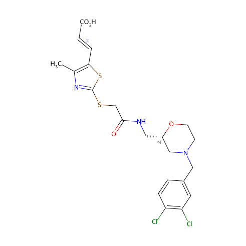 Cc1nc(SCC(=O)NC[C@H]2CN(Cc3ccc(Cl)c(Cl)c3)CCO2)sc1/C=C/C(=O)O